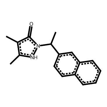 Cc1[nH]n(C(C)c2ccc3ccccc3c2)c(=O)c1C